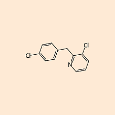 Clc1ccc(Cc2ncccc2Cl)cc1